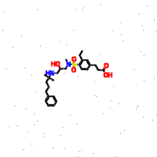 CCc1cc(CCC(=O)O)ccc1S(=O)(=O)N(C)C[C@H](O)CNC(C)(C)CCCc1ccccc1